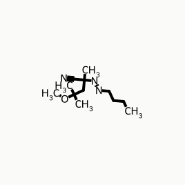 CCCC/N=N/C(C)(C#N)CC(C)(C)OC